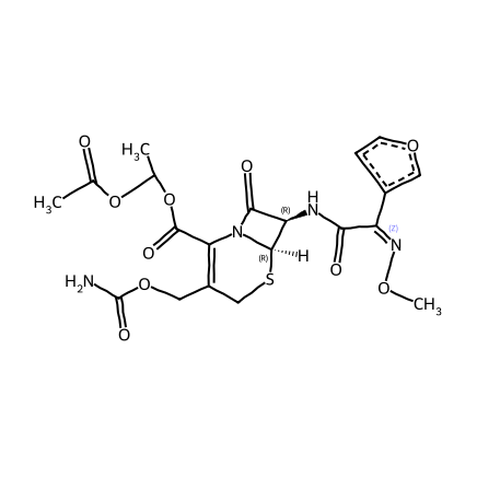 CO/N=C(\C(=O)N[C@@H]1C(=O)N2C(C(=O)OC(C)OC(C)=O)=C(COC(N)=O)CS[C@H]12)c1ccoc1